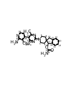 Cc1nc(N2CCC3(CC2)Cc2ccccc2[C@H]3OC(N)=O)nc(C#N)c1-c1ccnc(N)c1Cl